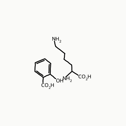 NCCCCC(N)C(=O)O.O=C(O)c1ccccc1O